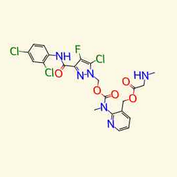 CNCC(=O)OCc1cccnc1N(C)C(=O)OCn1nc(C(=O)Nc2ccc(Cl)cc2Cl)c(F)c1Cl